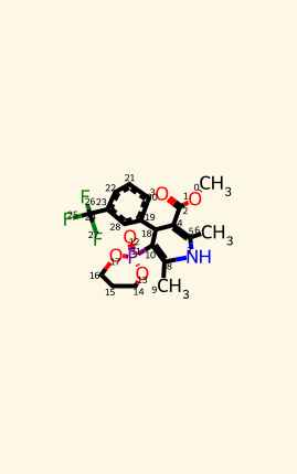 COC(=O)C1=C(C)NC(C)=C(P2(=O)OCCCO2)C1c1cccc(C(F)(F)F)c1